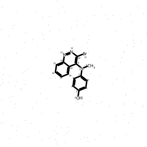 CN(c1ccc(O)cc1)c1c(Br)nnc2ccccc12